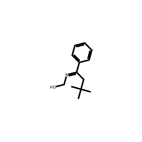 CC(C)(C)C/C(=N\CO)c1ccccc1